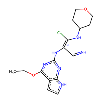 CCOc1nc(N/C(C=N)=C(\Cl)NC2CCOCC2)nc2[nH]ccc12